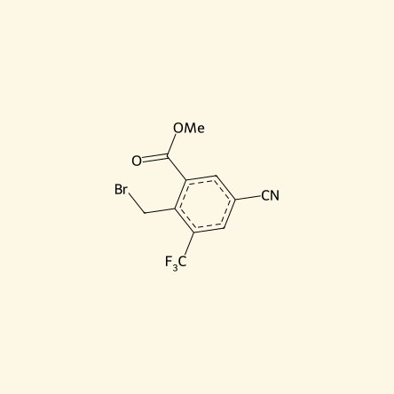 COC(=O)c1cc(C#N)cc(C(F)(F)F)c1CBr